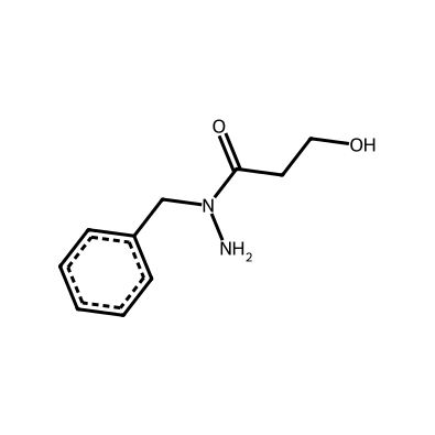 NN(Cc1ccccc1)C(=O)CCO